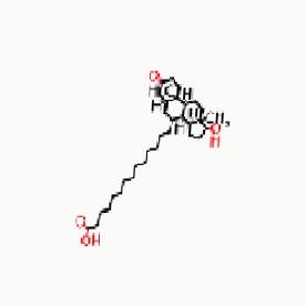 C[C@]12CCC(=O)C[C@@H]1C[C@H](CCCCCCCCCCCCCC(=O)O)[C@@H]1[C@@H]2CC[C@]2(C)[C@@H](O)CC[C@@H]12